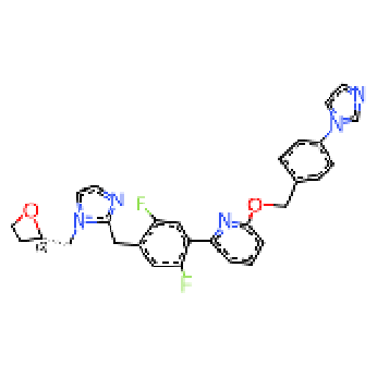 Fc1cc(-c2cccc(OCc3ccc(-n4ccnc4)cc3)n2)c(F)cc1Cc1nccn1C[C@@H]1CCO1